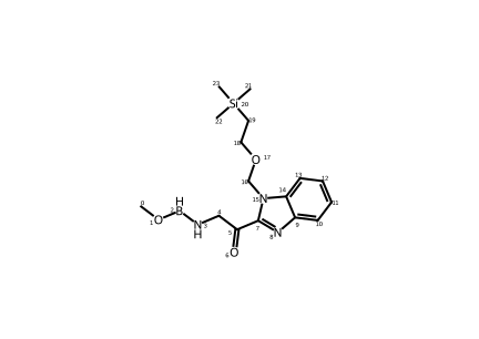 COBNCC(=O)c1nc2ccccc2n1COCC[Si](C)(C)C